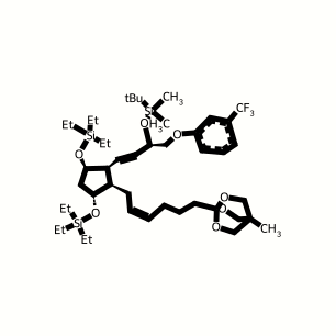 CC[Si](CC)(CC)O[C@@H]1C[C@@H](O[Si](CC)(CC)CC)[C@H](C/C=C\CCCC23OCC(C)(CO2)CO3)[C@@H]1C=C[C@H](COc1cccc(C(F)(F)F)c1)O[Si](C)(C)C(C)(C)C